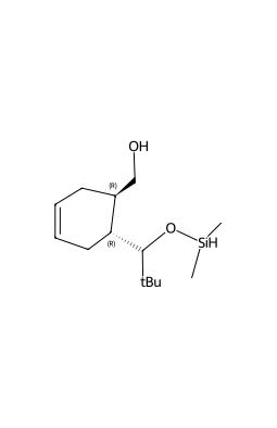 C[SiH](C)OC([C@@H]1CC=CC[C@H]1CO)C(C)(C)C